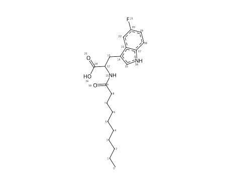 CCCCCCCCCC(=O)NC(Cc1c[nH]c2ccc(F)cc12)C(=O)O